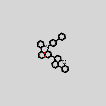 c1ccc(-c2ccc(N(c3cccc(-c4ccc5c6c(cccc46)-c4ccccc4O5)c3)c3ccccc3-c3ccccc3)cc2)cc1